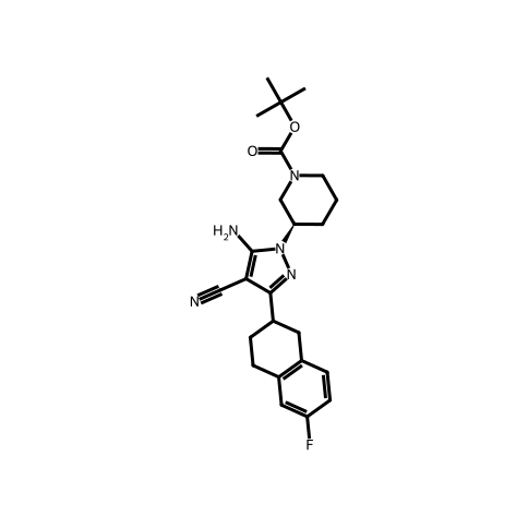 CC(C)(C)OC(=O)N1CCC[C@@H](n2nc(C3CCc4cc(F)ccc4C3)c(C#N)c2N)C1